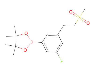 CC1(C)OB(c2cc(F)cc(CCS(C)(=O)=O)c2)OC1(C)C